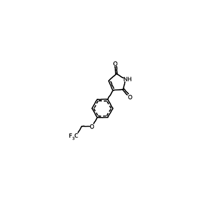 O=C1C=C(c2ccc(OCC(F)(F)F)cc2)C(=O)N1